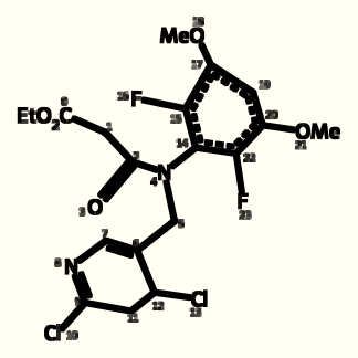 CCOC(=O)CC(=O)N(CC1=CN=C(Cl)CC1Cl)c1c(F)c(OC)cc(OC)c1F